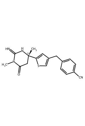 CN1C(=N)N[C@](C)(c2cc(Cc3ccc(C#N)cc3)cs2)CC1=O